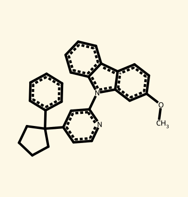 COc1ccc2c3ccccc3n(-c3cc(C4(c5ccccc5)CCCC4)ccn3)c2c1